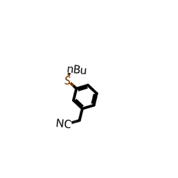 CCCCSc1cccc(CC#N)c1